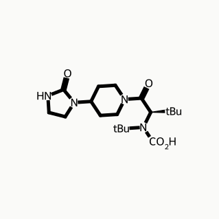 CC(C)(C)[C@H](C(=O)N1CCC(N2CCNC2=O)CC1)N(C(=O)O)C(C)(C)C